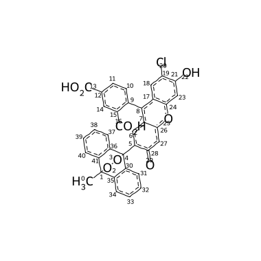 CC12OOC(c3cc4c(-c5ccc(C(=O)O)cc5C(=O)O)c5cc(Cl)c(O)cc5oc-4cc3=O)(c3ccccc31)c1ccccc12